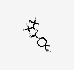 CC1(N)CCN(C(=O)OC(C(F)(F)F)C(F)(F)F)CC1